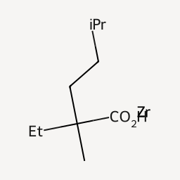 CCC(C)(CCC(C)C)C(=O)O.[Zr]